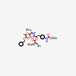 CN[C@@H](CC(C)C)C(=O)O[C@H](Cc1ccc(NC(=O)OC)cc1)C(=O)N(C)[C@@H](CC(C)C)C(=O)O[C@H](C)C(=O)OCc1ccccc1